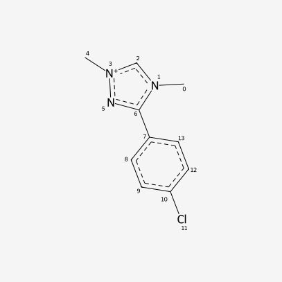 Cn1c[n+](C)nc1-c1ccc(Cl)cc1